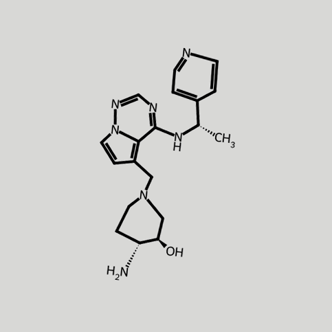 C[C@H](Nc1ncnn2ccc(CN3CC[C@@H](N)[C@H](O)C3)c12)c1ccncc1